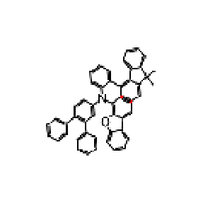 CC1(C)c2ccccc2-c2c(-c3ccccc3N(c3ccc(-c4ccccc4)c(-c4ccccc4)c3)c3cccc4c3oc3ccccc34)cccc21